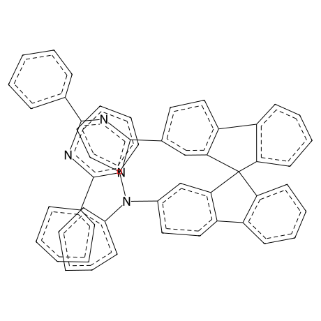 c1ccc(-c2nc(-c3ccccc3)nc(-c3ccc4c(c3)C3(c5ccccc5-4)c4ccccc4-c4ccc(N(c5ccccc5)c5ccccc5)cc43)n2)cc1